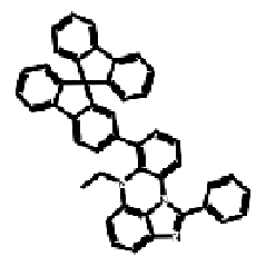 CCN1c2c(-c3ccc4c(c3)C3(c5ccccc5-c5ccccc53)c3ccccc3-4)cccc2-n2c(-c3ccccc3)nc3cccc1c32